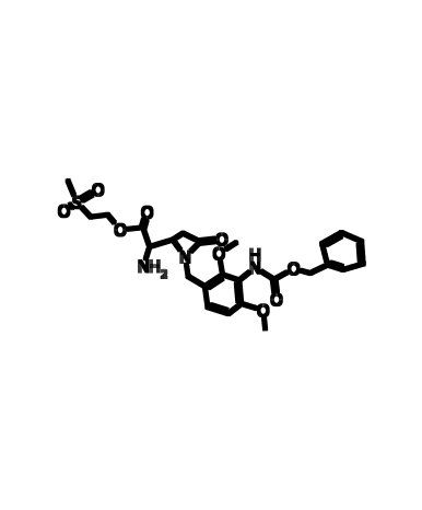 COc1ccc(CN2C(=O)CC2C(N)C(=O)OCCS(C)(=O)=O)c(OC)c1NC(=O)OCc1ccccc1